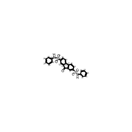 O=C1c2cc(S(=O)(=O)Nc3ccccc3)ccc2-c2ccc(S(=O)(=O)Nc3ccccc3)cc21